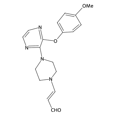 COc1ccc(Oc2nccnc2N2CCN(C=CC=O)CC2)cc1